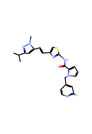 CC(C)c1cc(/C=C/c2csc(NC(=O)c3cccn3Cc3ccnc(F)c3)n2)n(C)n1